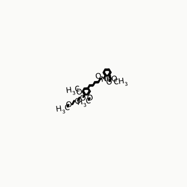 COCCOCOc1c(OC)cc(C=CC=CC(=O)Nc2ccccc2C(=O)OC)cc1OC